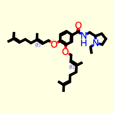 CCN1CCCC1CNC(=O)c1ccc(OC/C=C(\C)CCC=C(C)C)c(OC/C=C(\C)CCC=C(C)C)c1